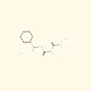 CCN(C(=O)NC(C(=O)O)c1ccccc1)C(=O)N(C)C